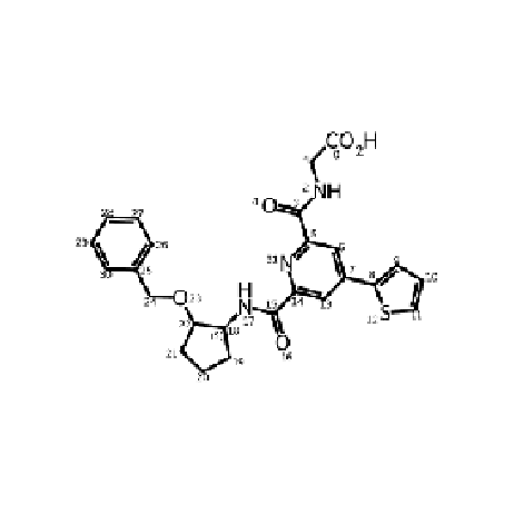 O=C(O)CNC(=O)c1cc(-c2cccs2)cc(C(=O)N[C@H]2CCCC2OCc2ccccc2)n1